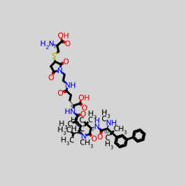 CN[C@H](C(=O)N[C@H](C(=O)N(C)[C@H](/C=C(\C)C(=O)N[C@H](CCC(=O)NCCN1C(=O)CC(SC[C@H](N)C(=O)O)C1=O)C(=O)O)C(C)C)C(C)(C)C)C(C)(C)c1cccc(-c2ccccc2)c1